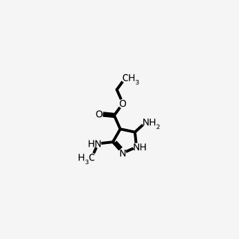 CCOC(=O)C1C(NC)=NNC1N